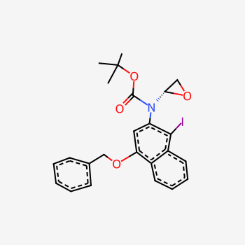 CC(C)(C)OC(=O)N(c1cc(OCc2ccccc2)c2ccccc2c1I)[C@@H]1CO1